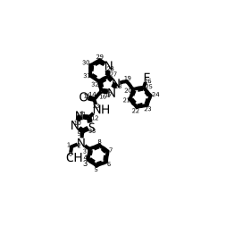 CCN(c1ccccc1)c1nnc(NC(=O)c2nn(Cc3ccccc3F)c3ncccc23)s1